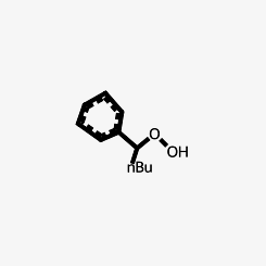 CCCCC(OO)c1ccccc1